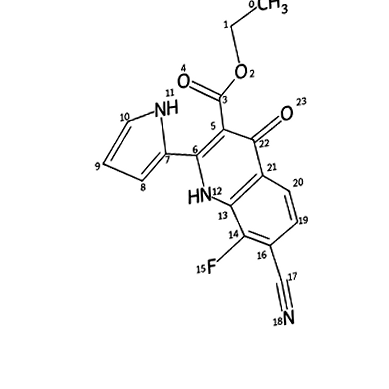 CCOC(=O)c1c(-c2ccc[nH]2)[nH]c2c(F)c(C#N)ccc2c1=O